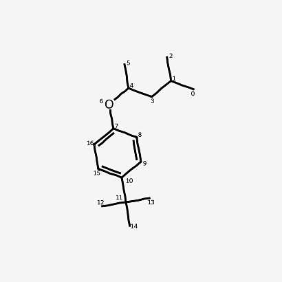 CC(C)CC(C)Oc1ccc(C(C)(C)C)cc1